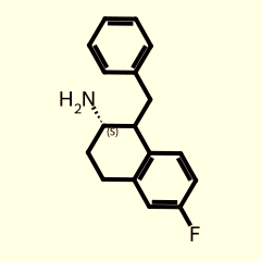 N[C@H]1CCc2cc(F)ccc2C1Cc1ccccc1